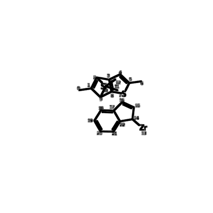 CC1=C2c3cc(C)sc3C1[Si]2(C)C.[Zr][CH]1C=Cc2ccccc21